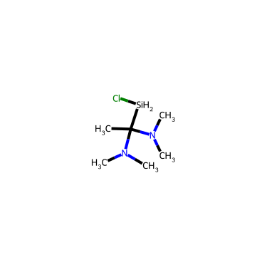 CN(C)C(C)([SiH2]Cl)N(C)C